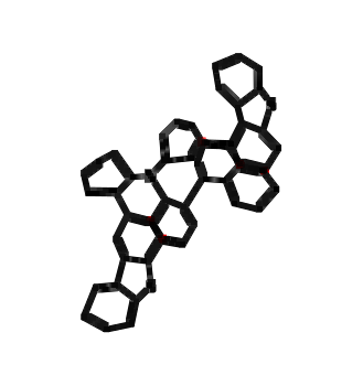 c1cc(-c2cccc3sc4ccccc4c23)cc(N(c2ccccc2-c2ccc3sc4ccccc4c3c2)c2ccccc2-c2cccc3ccccc23)c1